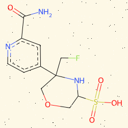 NC(=O)c1cc(C2(CF)COCC(S(=O)(=O)O)N2)ccn1